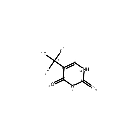 O=C1[N]C(=O)C(C(F)(F)F)=CN1